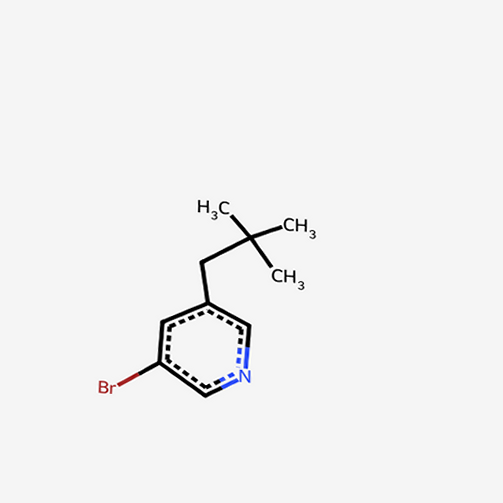 CC(C)(C)Cc1cncc(Br)c1